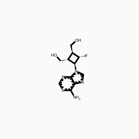 Nc1ncnc2c1ncn2[C@@H]1[C@@H](F)[C@H](CO)[C@H]1CO